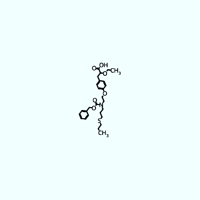 CCCSCCCN(CCOc1ccc(CC(OCC)C(=O)O)cc1)C(=O)OCc1ccccc1